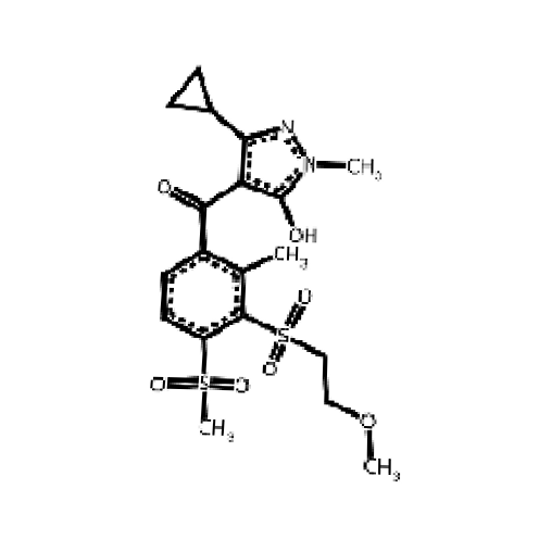 COCCS(=O)(=O)c1c(S(C)(=O)=O)ccc(C(=O)c2c(C3CC3)nn(C)c2O)c1C